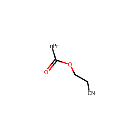 [CH2]CCC(=O)OCCC#N